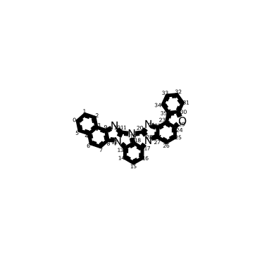 c1ccc2c(c1)ccc1c2nc2n1c1cccc3c1n2c1nc2c4c(ccc2n31)oc1ccccc14